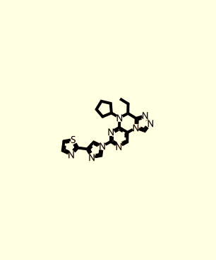 CCC1c2nncn2-c2cnc(-n3cnc(-c4nccs4)c3)nc2N1C1CCCC1